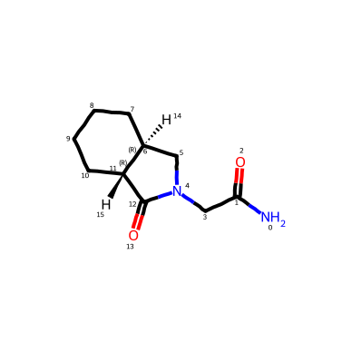 NC(=O)CN1C[C@@H]2CCCC[C@H]2C1=O